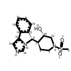 CS(=O)(=O)N1CC[C@@H]([C@H]2c3ccccc3-c3cncn32)[C@H](O)C1